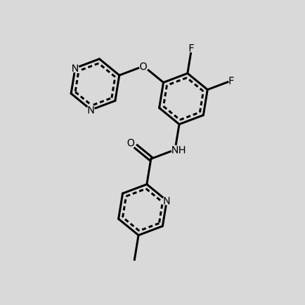 Cc1ccc(C(=O)Nc2cc(F)c(F)c(Oc3cncnc3)c2)nc1